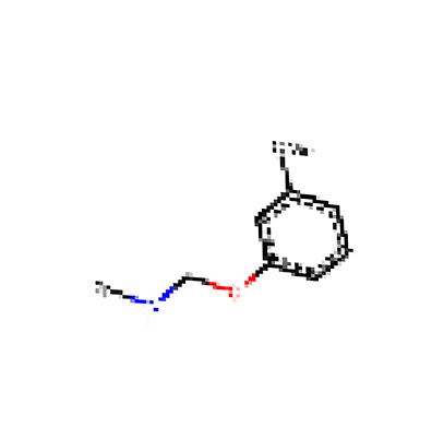 COc1cccc(OCNC(C)C)c1